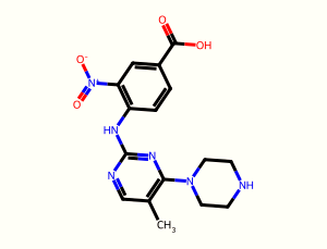 Cc1cnc(Nc2ccc(C(=O)O)cc2[N+](=O)[O-])nc1N1CCNCC1